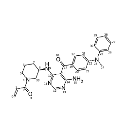 C=CC(=O)N1CCC[C@@H](Nc2ncnc(N)c2C(=O)c2ccc(N(C)c3ccccc3)cc2)C1